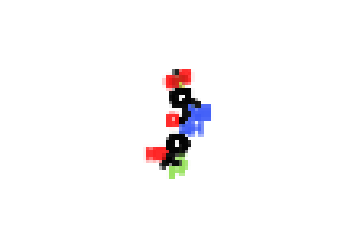 CC(O)(c1ccc(NC(=O)C2NCc3cc(S(C)(=O)=O)ccc32)cc1)C(F)(F)F